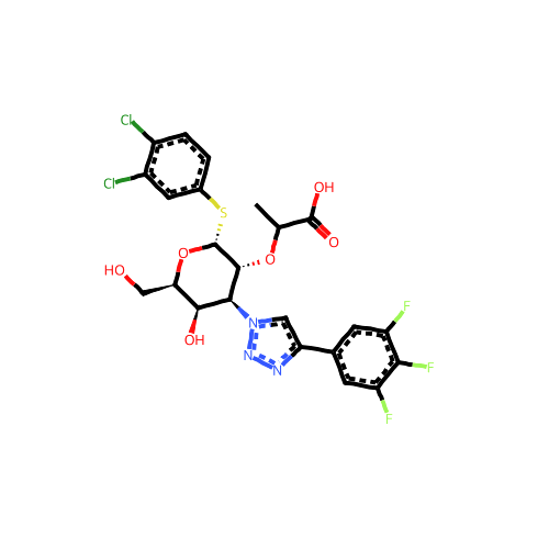 CC(O[C@@H]1[C@@H](n2cc(-c3cc(F)c(F)c(F)c3)nn2)[C@@H](O)[C@@H](CO)O[C@@H]1Sc1ccc(Cl)c(Cl)c1)C(=O)O